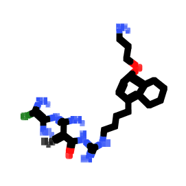 C=C(C(=O)NC(=N)NCCCCc1ccc(OCCCN)c2c1CCCC2)/C(N)=N\C(N)=C(/N)Cl